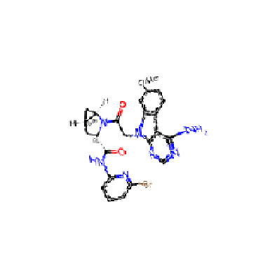 COc1ccc2c3c(N)ncnc3n(CC(=O)N3[C@@H]4C[C@@H]4C[C@H]3C(=O)Nc3cccc(Br)n3)c2c1